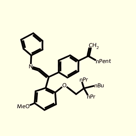 C=C(CCCCC)c1ccc(C(=C=Nc2ccccc2)c2cc(OC)ccc2OCC(CCC)(CCC)CCCC)cc1